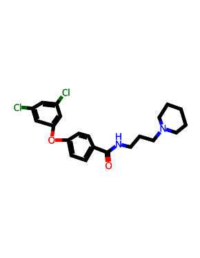 O=C(NCCCN1CCCCC1)c1ccc(Oc2cc(Cl)cc(Cl)c2)cc1